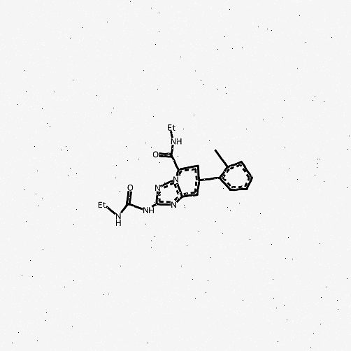 CCNC(=O)Nc1nc2cc(-c3ccccc3C)cc(C(=O)NCC)n2n1